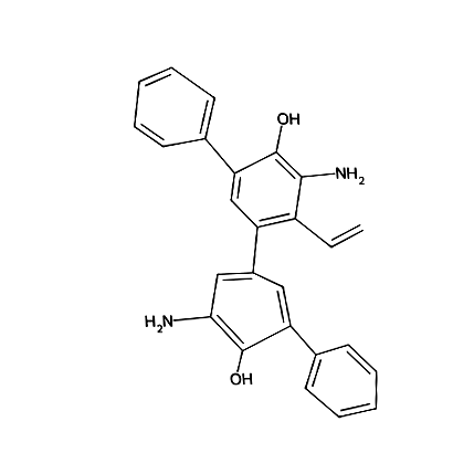 C=Cc1c(-c2cc(N)c(O)c(-c3ccccc3)c2)cc(-c2ccccc2)c(O)c1N